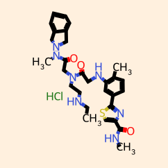 CCNCCN(CC(=O)N(C)N1Cc2ccccc2C1)C(=O)CNc1cc(-c2nc(C(=O)NC)cs2)ccc1C.Cl